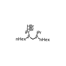 Br.Br.CCCCCCP(CP(CCCCCC)C(C)C)C(C)C